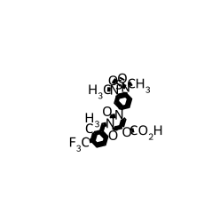 Cc1c(Cn2c(=O)c(OC(=O)O)cn(-c3ccc4c(c3)N(C)S(=O)(=O)N4C)c2=O)cccc1C(F)(F)F